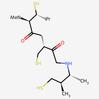 CN[C@H](C(=O)C[C@@H](CS)C(=O)CN[C@H](C)[C@@H](C)CS)[C@H](S)C(C)C